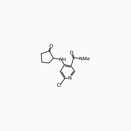 CNC(=O)c1cnc(Cl)cc1NC1CCCC1=O